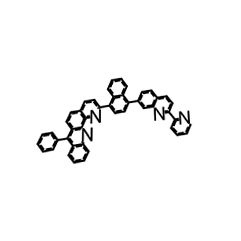 c1ccc(-c2c3ccccc3nc3c2ccc2ccc(-c4ccc(-c5ccc6ccc(-c7ccccn7)nc6c5)c5ccccc45)nc23)cc1